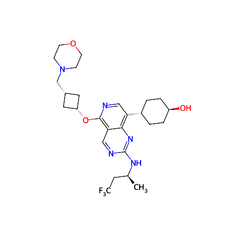 C[C@@H](CC(F)(F)F)Nc1ncc2c(O[C@H]3C[C@@H](CN4CCOCC4)C3)ncc([C@H]3CC[C@H](O)CC3)c2n1